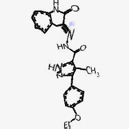 CCOc1ccc(-c2n[nH]c(C(=O)N/N=C3/C(=O)Nc4ccccc43)c2C)cc1